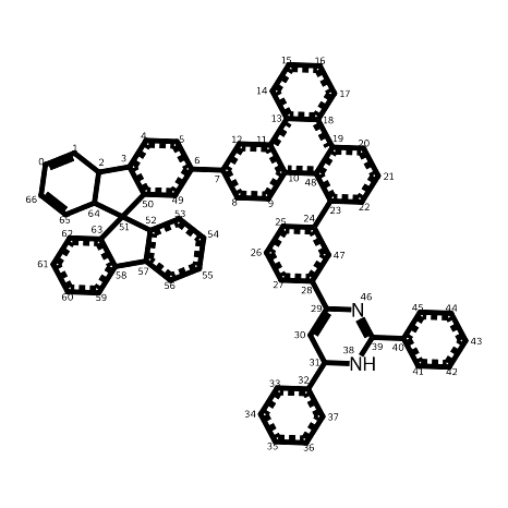 C1=CC2c3ccc(-c4ccc5c(c4)c4ccccc4c4cccc(-c6cccc(C7=CC(c8ccccc8)NC(c8ccccc8)=N7)c6)c45)cc3C3(c4ccccc4-c4ccccc43)C2C=C1